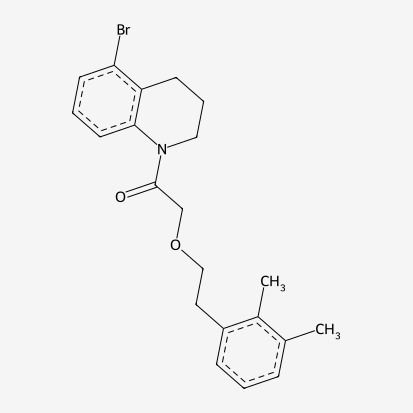 Cc1cccc(CCOCC(=O)N2CCCc3c(Br)cccc32)c1C